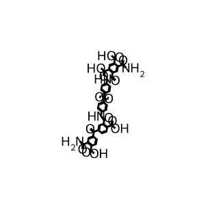 NC(=O)c1cc(C(=O)c2ccc(C(=O)O)c(C(=O)Nc3ccc(S(=O)(=O)c4ccc(NC(=O)c5cc(C(N)=O)c(C(=O)O)cc5C(=O)O)cc4)cc3)c2)ccc1C(=O)O